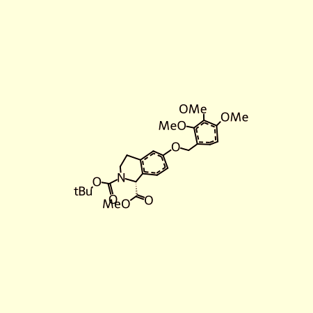 COC(=O)[C@H]1c2ccc(OCc3ccc(OC)c(OC)c3OC)cc2CCN1C(=O)OC(C)(C)C